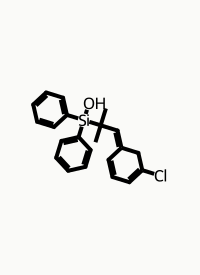 CC(C)(/C=C1\C=CC=C(Cl)C1)[Si](O)(c1ccccc1)c1ccccc1